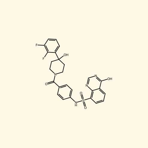 O=C(c1ccc(NS(=O)(=O)c2cccc3c(O)ncnc23)cc1)N1CCC(O)(c2cccc(F)c2F)CC1